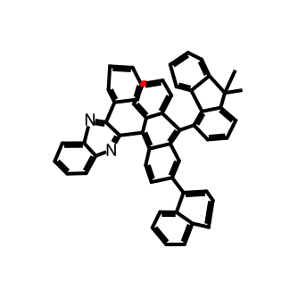 CC1(C)c2ccccc2-c2c(-c3c4ccccc4c(-c4nc5ccccc5nc4-c4ccccc4)c4ccc(-c5cccc6ccccc56)cc34)cccc21